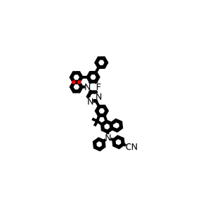 CC1(C)c2cc(-c3ncc(N(c4ccccc4)c4c(F)cc(-c5ccccc5)cc4-c4ccccc4)cn3)ccc2-c2c1cc(N(c1ccccc1)c1ccc(C#N)cc1)c1ccccc21